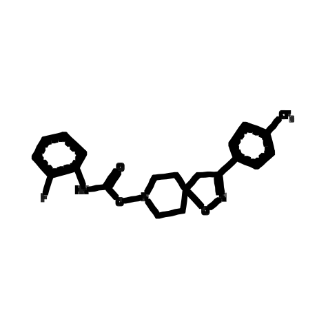 O=C(Nc1ccccc1F)ON1CCC2(CC1)CC(c1ccc(C(F)(F)F)cc1)=NO2